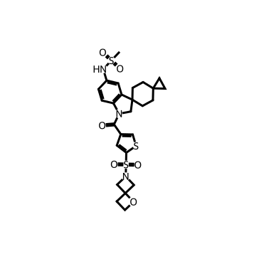 CS(=O)(=O)Nc1ccc2c(c1)C1(CCC3(CC3)CC1)CN2C(=O)c1csc(S(=O)(=O)N2CC3(CCO3)C2)c1